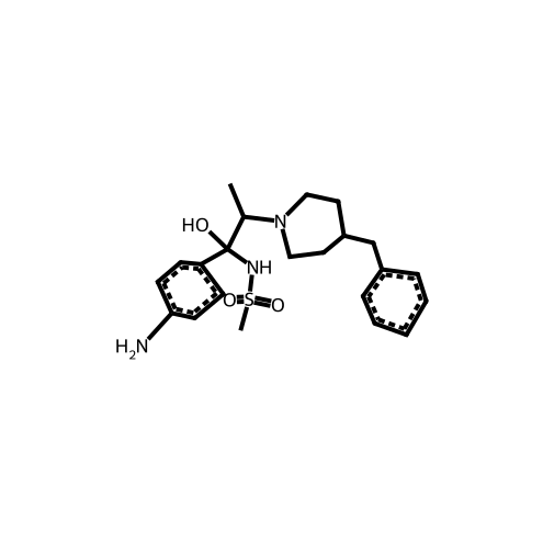 CC(N1CCC(Cc2ccccc2)CC1)C(O)(NS(C)(=O)=O)c1ccc(N)cc1